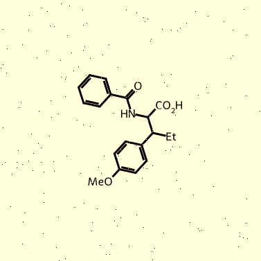 CCC(c1ccc(OC)cc1)C(NC(=O)c1ccccc1)C(=O)O